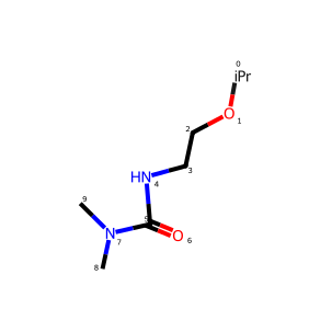 CC(C)OCCNC(=O)N(C)C